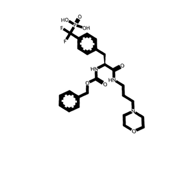 O=C(N[C@@H](Cc1ccc(C(F)(F)P(=O)(O)O)cc1)C(=O)NCCCN1CCOCC1)OCc1ccccc1